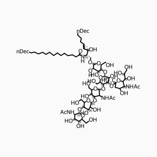 CCCCCCCCCCCCC/C=C/[C@@H](O)[C@H](CO[C@@H]1OC(CO)[C@@H](O[C@@H]2OC(CO)[C@H](O[C@@H]3OC(CO)[C@H](O)[C@H](O[C@@H]4OC(CO)[C@H](O[C@@H]5OC(CO)[C@H](O)[C@H](O)C5NC(C)=O)[C@H](O)C4O)C3NC(C)=O)[C@H](O[C@]3(C(=O)O)CC(O)[C@@H](NC(C)=O)C([C@H](O)[C@H](O)CO)O3)C2O)[C@H](O)C1O)NC(=O)CCCCCCCCCCCCCCCCCCCCCCC